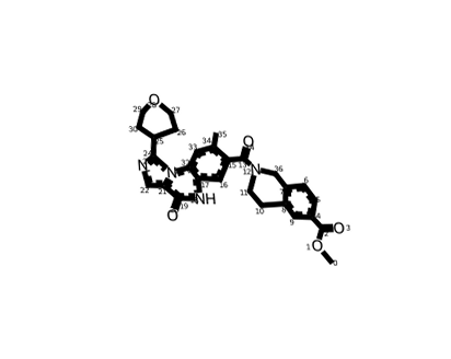 COC(=O)c1ccc2c(c1)CCN(C(=O)c1cc3[nH]c(=O)c4cnc(C5CCOCC5)n4c3cc1C)C2